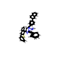 CCC1C(c2ccc(-c3ccc4ccccc4c3)cc2)=NC(c2ccccc2)=NC1c1c2ccccc2cc2c1sc1ccccc12